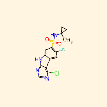 CC1(NS(=O)(=O)c2cc3[nH]c4ncnc(Cl)c4c3cc2F)CC1